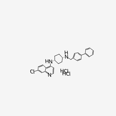 Cl.Cl.Clc1ccc2c(N[C@H]3CC[C@@H](NCc4ccc(-c5ccccc5)cc4)CC3)ccnc2c1